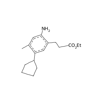 CCOC(=O)CCc1cc(C2CCCC2)c(C)cc1N